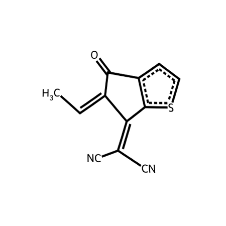 C/C=C1\C(=O)c2ccsc2C1=C(C#N)C#N